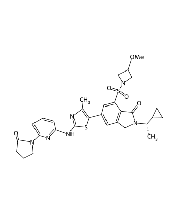 COC1CN(S(=O)(=O)c2cc(-c3sc(Nc4cccc(N5CCCC5=O)n4)nc3C)cc3c2C(=O)N([C@@H](C)C2CC2)C3)C1